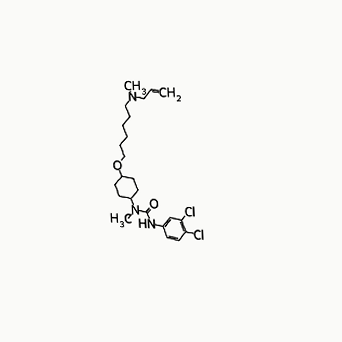 C=CCN(C)CCCCCCOC1CCC(N(C)C(=O)Nc2ccc(Cl)c(Cl)c2)CC1